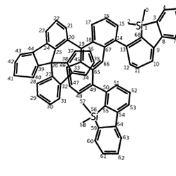 C[Si]1(C)c2ccccc2-c2cccc(-c3cccc4c(-c5cccc6c5C5(c7ccccc7-c7ccccc75)c5ccccc5-6)c5cccc(-c6cccc7c6[Si](C)(C)c6ccccc6-7)c5cc34)c21